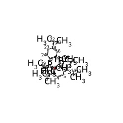 CC(C)c1ccc(P(C(C)C)C(C)C)c(P(C)c2cc(C(C)C)ccc2P(C(C)C)C(C)C)c1